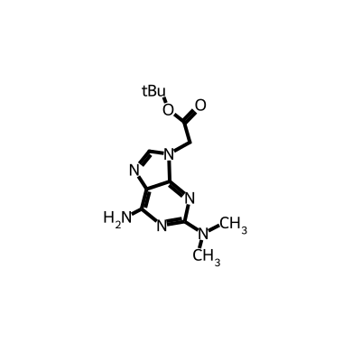 CN(C)c1nc(N)c2ncn(CC(=O)OC(C)(C)C)c2n1